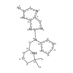 [2H]c1cnc2cnc(N(CC3COCC(C)(C)N3)c3ccccc3)nc2n1